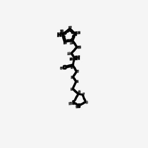 O=C(CCCCC1CCSS1)NCCc1c[nH]cn1